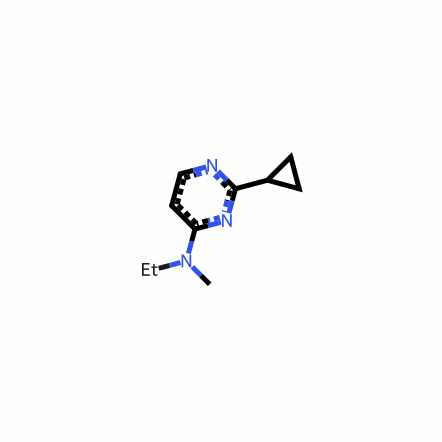 CCN(C)c1ccnc(C2CC2)n1